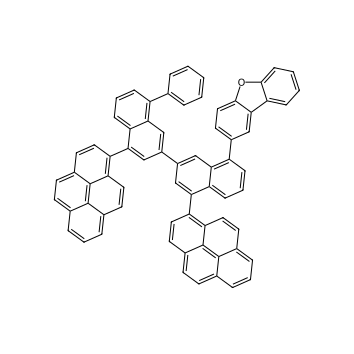 c1ccc(-c2cccc3c(-c4ccc5ccc6cccc7ccc4c5c67)cc(-c4cc(-c5ccc6ccc7cccc8ccc5c6c78)c5cccc(-c6ccc7oc8ccccc8c7c6)c5c4)cc23)cc1